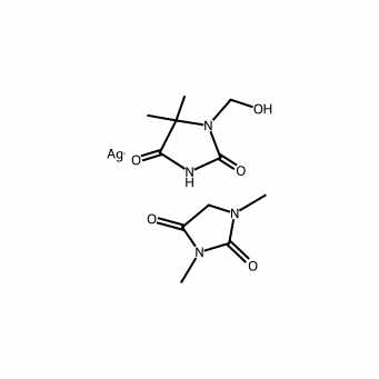 CC1(C)C(=O)NC(=O)N1CO.CN1CC(=O)N(C)C1=O.[Ag]